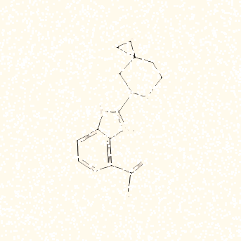 NC(=O)c1cccc2[nH]c(C3CC4(CCN3)CC4)nc12